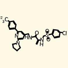 C=C(NCS(=O)(=O)c1ccc(Cl)cc1)C(=O)NCc1cc(-c2ccc(C(F)(F)F)cc2)nc(N2CCCC2)c1